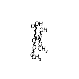 CCOCCOCCO.COCCOCCOC(=O)CCCCC(=O)O